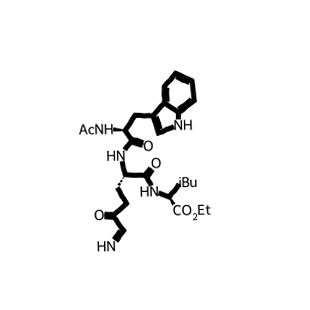 CCOC(=O)[C@@H](NC(=O)[C@H](CCC(=O)C=N)NC(=O)[C@H](Cc1c[nH]c2ccccc12)NC(C)=O)C(C)CC